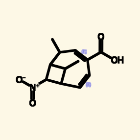 CC1/C=C(C(=O)O)\C=C/C2C(C)C1C2[N+](=O)[O-]